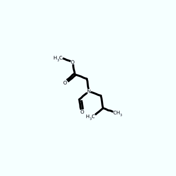 COC(=O)CN(C=O)CC(C)C